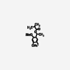 C=C(C)C(=O)OC(C)c1cc(I)c(OC(C)=O)cc1OC